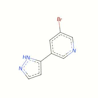 Brc1cncc(-c2ccn[nH]2)c1